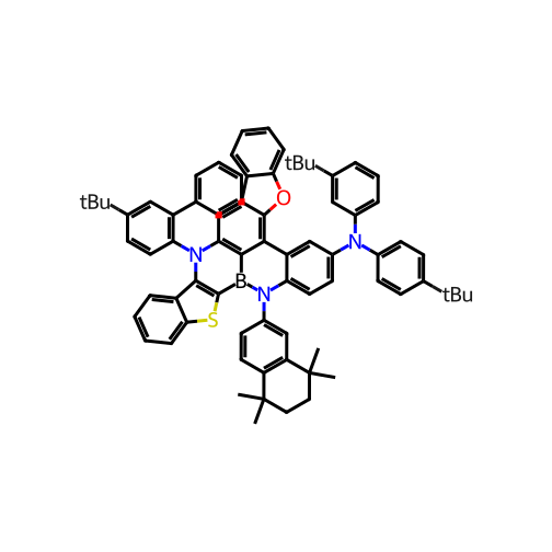 CC(C)(C)c1ccc(N(c2cccc(C(C)(C)C)c2)c2ccc3c(c2)-c2c4c(cc5c2oc2ccccc25)N(c2ccc(C(C)(C)C)cc2-c2ccccc2)c2c(sc5ccccc25)B4N3c2ccc3c(c2)C(C)(C)CCC3(C)C)cc1